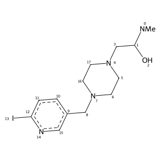 CNC(O)CN1CCN(Cc2ccc(I)nc2)CC1